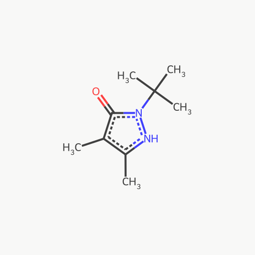 Cc1[nH]n(C(C)(C)C)c(=O)c1C